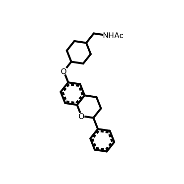 CC(=O)NCC1CCC(Oc2ccc3c(c2)CCC(c2ccccc2)O3)CC1